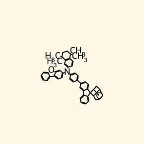 CC1(C)CCC(C)(C)c2cc(N(c3ccc(-c4ccc5c(c4)-c4ccccc4C54C5CC6CC7CC4C75C6)cc3)c3ccc4c(c3)oc3ccccc34)ccc21